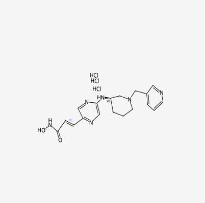 Cl.Cl.Cl.O=C(/C=C/c1cnc(N[C@@H]2CCCN(Cc3cccnc3)C2)cn1)NO